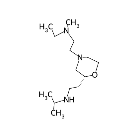 CCN(C)CCN1CCO[C@H](CCNC(C)C)C1